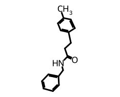 Cc1ccc(CCC(=O)NCc2ccccc2)cc1